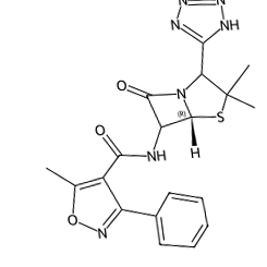 Cc1onc(-c2ccccc2)c1C(=O)NC1C(=O)N2C(c3nnn[nH]3)C(C)(C)S[C@H]12